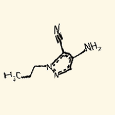 CCCn1ncc(N)c1C#N